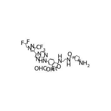 CCc1cc(Nc2nccn3c(-c4cn(CC(F)F)nc4C(F)(F)F)cnc23)ccc1C(=O)NCCNC(=O)[C@@H]1CC[C@@H](N)C1.O=CO